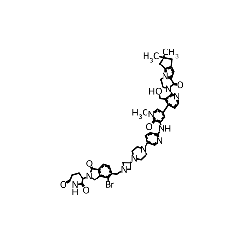 Cn1cc(-c2ccnc(N3CCn4c(cc5c4CC(C)(C)C5)C3=O)c2CO)cc(Nc2ccc(N3CCN(C4CN(Cc5ccc6c(c5Br)CN(C5CCC(=O)NC5=O)C6=O)C4)CC3)cn2)c1=O